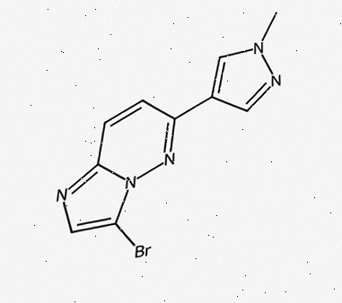 Cn1cc(-c2ccc3ncc(Br)n3n2)cn1